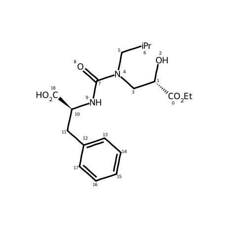 CCOC(=O)[C@@H](O)CN(CC(C)C)C(=O)N[C@@H](Cc1ccccc1)C(=O)O